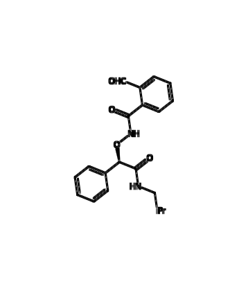 CC(C)CNC(=O)[C@H](ONC(=O)c1ccccc1C=O)c1ccccc1